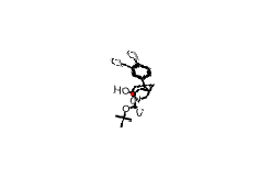 CC(C)(C)OC(=O)N1CCC2(c3ccc(Cl)c(Cl)c3)CC2(CC(=O)O)C1